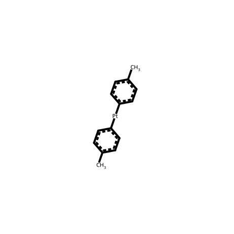 Cc1cc[c]([Pt][c]2ccc(C)cc2)cc1